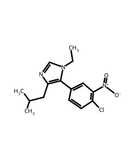 CCn1cnc(CC(C)C)c1-c1ccc(Cl)c([N+](=O)[O-])c1